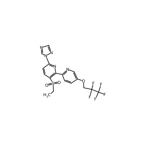 CCS(=O)(=O)c1ccc(-n2cncn2)nc1-c1ccc(OCC(F)(F)C(F)(F)F)cn1